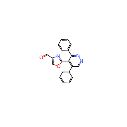 O=Cc1coc(-c2c(-c3ccccc3)cnnc2-c2ccccc2)n1